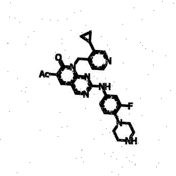 CC(=O)c1cc2cnc(Nc3ccc(N4CCNCC4)c(F)c3)nc2n(Cc2ccncc2C2CC2)c1=O